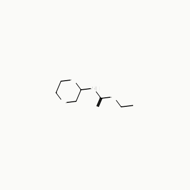 CCOC(=O)NC1COCCO1